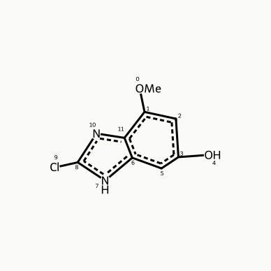 COc1cc(O)cc2[nH]c(Cl)nc12